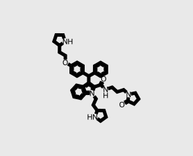 O=C(NCCCN1CCCC1=O)c1c(C(c2ccccc2)c2ccc(OCCC3CCCN3)cc2)c2ccccc2n1CCC1CCCN1